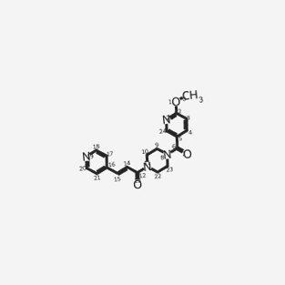 COc1ccc(C(=O)N2CCN(C(=O)/C=C/c3ccncc3)CC2)cn1